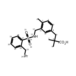 Cc1ccc(CC(C)(C)C(=O)O)cc1CNS(=O)(=O)c1ccccc1CC(C)C